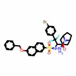 NC1CC2CCC(C1)N2C(=O)C(NS(=O)(=O)c1ccc2cc(OCc3ccccc3)ccc2c1)C(F)(F)c1ccc(Br)cc1